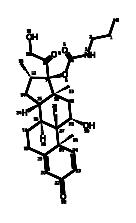 CCCNC(=O)O[C@]1(C(=O)CO)[C@@H](C)C[C@H]2[C@@H]3CCC4=CC(=O)C=C[C@]4(C)[C@@]3(F)[C@@H](O)C[C@@]21C